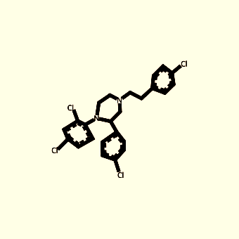 Clc1ccc(CCN2CCN(c3ccc(Cl)cc3Cl)C(c3ccc(Cl)cc3)C2)cc1